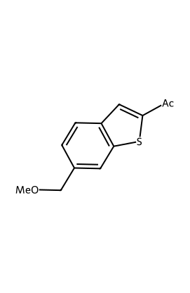 COCc1ccc2cc(C(C)=O)sc2c1